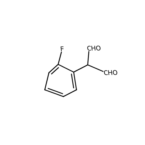 O=CC(C=O)c1ccccc1F